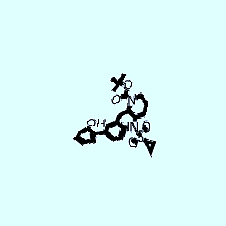 CC(C)(C)OC(=O)N1CCCC(NS(=O)(=O)C2CC2)C1Cc1cccc(-c2ccccc2O)c1